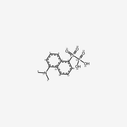 CN(C)c1cccc2c(S(=O)(=O)P(=O)(O)O)cccc12